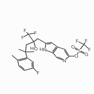 Cc1ccc(F)cc1C(C)(C)CC(O)(Cc1cc2cc(OS(=O)(=O)C(F)(F)F)ncc2[nH]1)C(F)(F)F